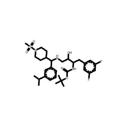 CC(C)c1cccc(C(NCC(O)C(Cc2cc(F)cc(F)c2)NC(=O)OC(C)(C)C)C2CCN(S(C)(=O)=O)CC2)c1